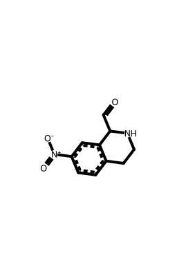 O=CC1NCCc2ccc([N+](=O)[O-])cc21